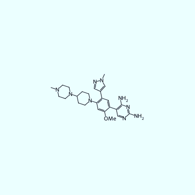 COc1cc(N2CCC(N3CCN(C)CC3)CC2)c(-c2cnn(C)c2)cc1-c1cnc(N)nc1N